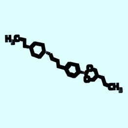 CCC[C@H]1CC[C@H](CCCCc2ccc([C@H]3OC[C@H](CCC)CO3)cc2)CC1